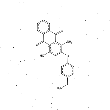 NCc1ccc(Oc2cc(O)c3c(c2N)C(=O)c2ccccc2C3=O)cc1